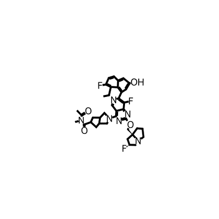 CCc1c(F)ccc2cc(O)cc(-c3ncc4c(N5CC6CC(C(=O)N(C)C(C)=O)CC6C5)nc(OC[C@@]56CCCN5C[C@H](F)C6)nc4c3F)c12